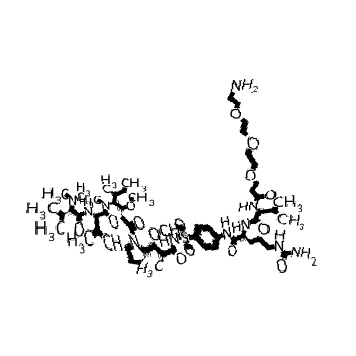 CC[C@H](C)[C@@H]([C@@H](CC(=O)N1CCC[C@H]1[C@H](OC)[C@@H](C)C(=O)NS(=O)(=O)c1ccc(NC(=O)[C@H](CCCNC(N)=O)NC(=O)[C@@H](NC(=O)CCOCCOCCOCCN)C(C)C)cc1)OC)N(C)C(=O)[C@@H](NC(=O)[C@H](C(C)C)N(C)C)C(C)C